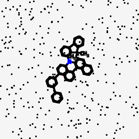 CC1(C)c2ccccc2-c2cccc(N(c3ccc(-c4cccc(-c5ccccc5)c4)cc3)c3ccc4ccccc4c3-c3ccccc3)c21